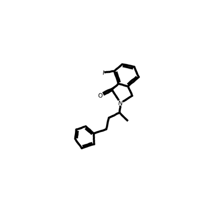 CC(CCc1ccccc1)N1Cc2cccc(I)c2C1=O